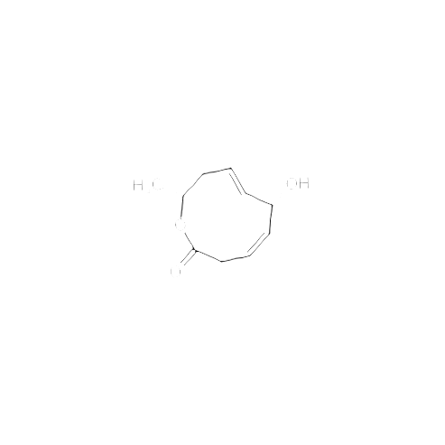 C[C@@H]1C/C=C/[C@H](O)/C=C\CC(=O)O1